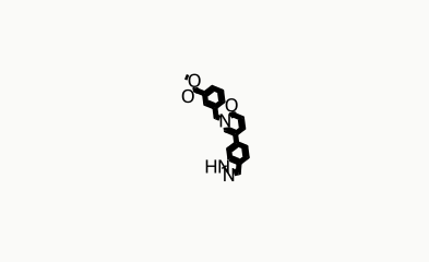 COC(=O)c1cccc(Cn2cc(-c3ccc4cn[nH]c4c3)ccc2=O)c1